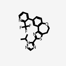 CC(C)n1ncnc1-c1nc2c(s1)CCOc1ccc(-c3cccnc3C(F)(F)F)cc1-2